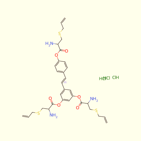 C=CCSCC(N)C(=O)Oc1ccc(/C=C/c2cc(OC(=O)C(N)CSCC=C)cc(OC(=O)C(N)CSCC=C)c2)cc1.Cl.Cl.Cl